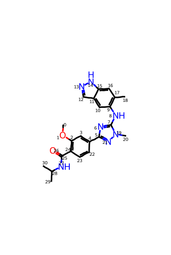 COc1cc(-c2nc(Nc3cc4cn[nH]c4cc3C)n(C)n2)ccc1C(=O)NC(C)C